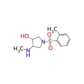 CNC1CN(S(=O)(=O)c2ccccc2C)CC1O